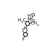 Cc1cc(N2CCc3cc(F)ccc3C2)cc(C)c1NC(=O)C1CCC1